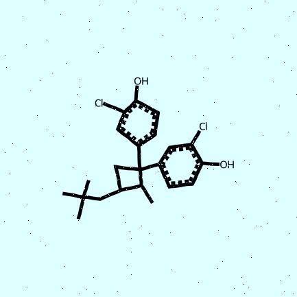 CC1C(CC(C)(C)C)CC1(c1ccc(O)c(Cl)c1)c1ccc(O)c(Cl)c1